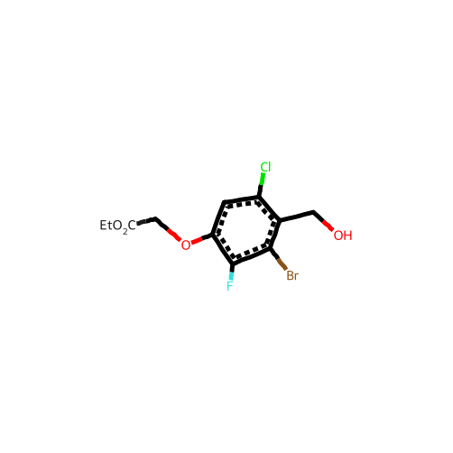 CCOC(=O)COc1cc(Cl)c(CO)c(Br)c1F